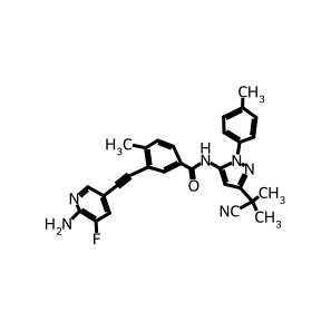 Cc1ccc(-n2nc(C(C)(C)C#N)cc2NC(=O)c2ccc(C)c(C#Cc3cnc(N)c(F)c3)c2)cc1